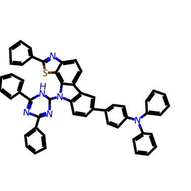 c1ccc(C2=NC(n3c4ccc(-c5ccc(N(c6ccccc6)c6ccccc6)cc5)cc4c4ccc5nc(-c6ccccc6)sc5c43)NC(c3ccccc3)=N2)cc1